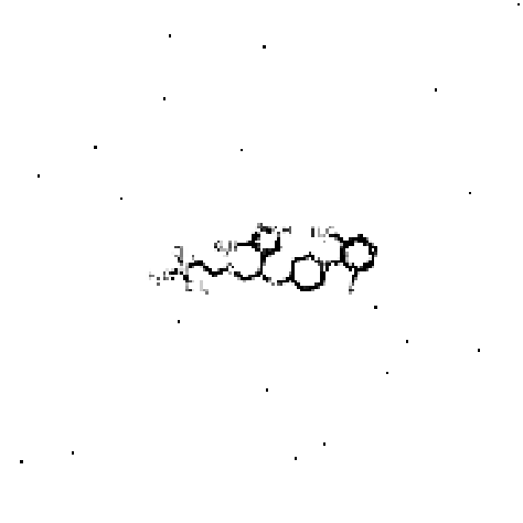 Cc1cccc(F)c1N1CCC(NC(COCC[Si](C)(C)C)c2c[nH]nc2[N+](=O)[O-])CC1